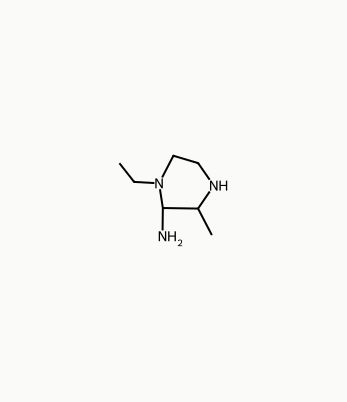 CCN1CCNC(C)C1N